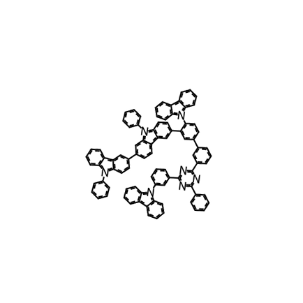 c1ccc(-c2nc(-c3cccc(-c4ccc(-n5c6ccccc6c6ccccc65)c(-c5ccc6c(c5)c5ccc(-c7ccc8c(c7)c7ccccc7n8-c7ccccc7)cc5n6-c5ccccc5)c4)c3)nc(-c3cccc(-n4c5ccccc5c5ccccc54)c3)n2)cc1